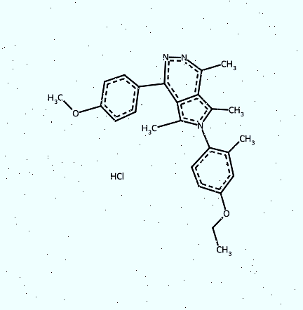 CCOc1ccc(-n2c(C)c3c(C)nnc(-c4ccc(OC)cc4)c3c2C)c(C)c1.Cl